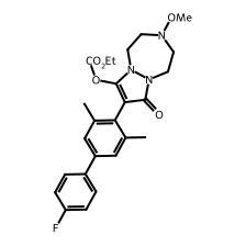 CCOC(=O)Oc1c(-c2c(C)cc(-c3ccc(F)cc3)cc2C)c(=O)n2n1CCN(OC)CC2